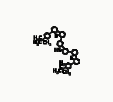 CC(C)(C)c1ccc(-c2cccc3c2sc2c(-c4ccc5[nH]c6ccc(-c7cccc8c7sc7c(-c9ccc(C(C)(C)C)cc9)cccc78)cc6c5c4)cccc23)cc1